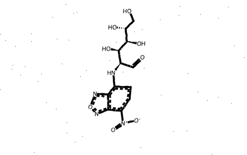 O=C[C@@H](Nc1ccc([N+](=O)[O-])c2nonc12)[C@@H](O)[C@H](O)[C@H](O)CO